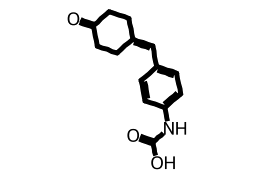 O=C1CCC(=Cc2ccc(NC(=O)O)cc2)CC1